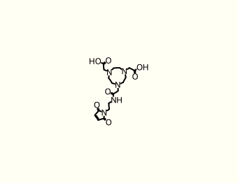 O=C(O)CN1CCN(CC(=O)O)CCN(CC(=O)NCCN2C(=O)C=CC2=O)CC1